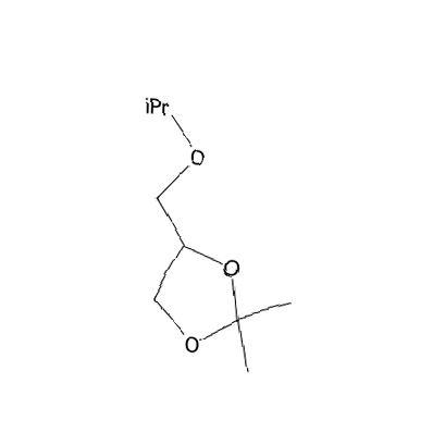 CC(C)OCC1COC(C)(C)O1